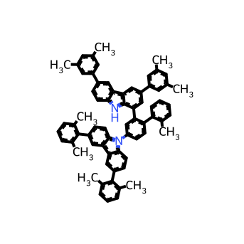 Cc1cc(C)cc(-c2ccc3[nH]c4c(-c5cc(-n6c7ccc(-c8c(C)cccc8C)cc7c7cc(-c8c(C)cccc8C)ccc76)ccc5-c5ccccc5C)cc(-c5cc(C)cc(C)c5)cc4c3c2)c1